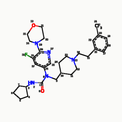 O=C(NC1CCCC1)N(CC1CCN(CCc2cccc(C(F)(F)F)c2)CC1)c1cnc(N2CCOCC2)c(F)c1